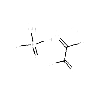 O=C([O-])C(=O)[O-].O=P(O)(O)O.[Ca+2]